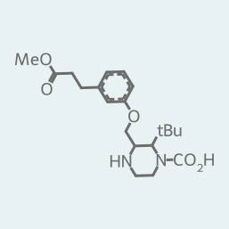 COC(=O)CCc1cccc(OCC2NCCN(C(=O)O)C2C(C)(C)C)c1